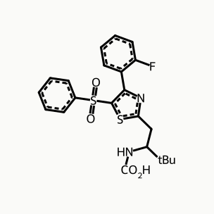 CC(C)(C)C(Cc1nc(-c2ccccc2F)c(S(=O)(=O)c2ccccc2)s1)NC(=O)O